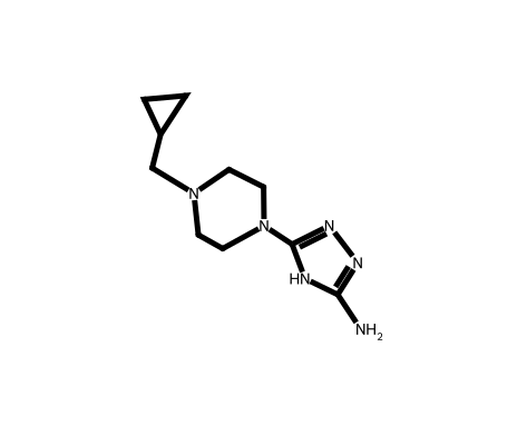 Nc1nnc(N2CCN(CC3CC3)CC2)[nH]1